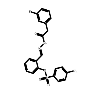 O=C(Cc1cccc(F)c1)NN=Cc1ccccc1OS(=O)(=O)c1ccc(C(F)(F)F)cc1